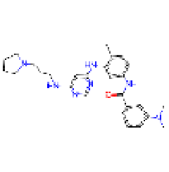 Cc1ccc(NC(=O)c2cccc(N(C)C)c2)cc1Nc1cc(NCCCN2CCCC2)ncn1